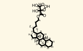 C[C@H](CCCOC(=O)C(O)(OO)C(O)O)[C@H]1CC[C@H]2[C@@H]3CCC4CCCC[C@]4(C)[C@H]3CC[C@]12C